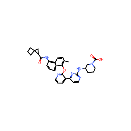 Cc1ccc2c(NC(=O)C3CC34CCC4)cccc2c1Oc1ncccc1-c1ccnc(N[C@H]2CCCN(C(=O)O)C2)n1